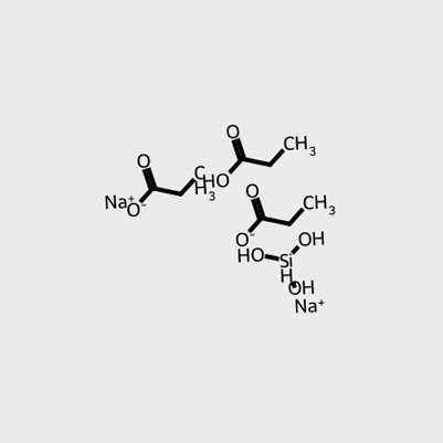 CCC(=O)O.CCC(=O)[O-].CCC(=O)[O-].O[SiH](O)O.[Na+].[Na+]